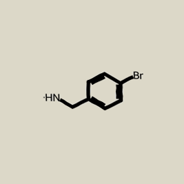 [NH]Cc1ccc(Br)cc1